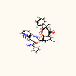 Cc1cc(C(C)Nc2cccnc2C(=O)NC2CCCC2)c2oc(-c3ccccc3)c(C)c(=O)c2c1